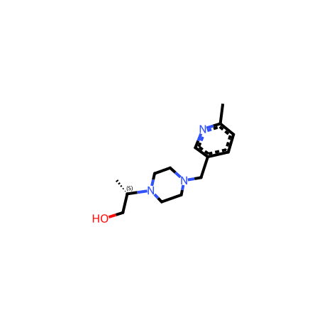 Cc1ccc(CN2CCN([C@@H](C)CO)CC2)cn1